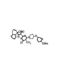 COc1ccc(OC2CCN(c3nc(C(=O)N[C@@]4(C=O)C=CCc5ccccc54)nc(Cl)c3C)CC2)cn1